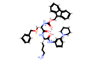 NCCCC[C@H](NC(=O)[C@H](COCc1ccccc1)NC(=O)OCC1c2ccccc2-c2ccccc21)C(=O)Nc1cccc(N2CCCCC2)c1